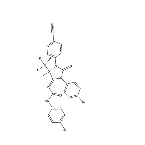 CC1(C(F)(F)F)/C(=N/C(=O)Nc2ccc(Br)cc2)N(c2ccc(Br)cc2)C(=O)N1c1ccc(C#N)cc1